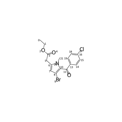 CCOC(=O)Cc1cc(Br)c(C(=O)c2ccc(Cl)cc2)n1C